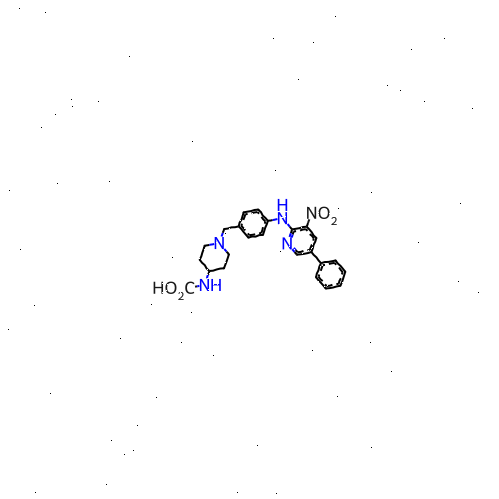 O=C(O)NC1CCN(Cc2ccc(Nc3ncc(-c4ccccc4)cc3[N+](=O)[O-])cc2)CC1